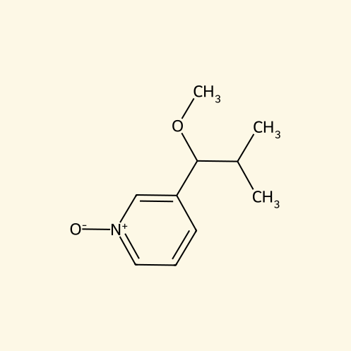 COC(c1ccc[n+]([O-])c1)C(C)C